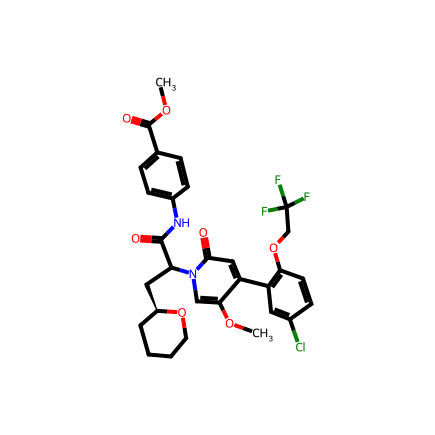 COC(=O)c1ccc(NC(=O)C(C[C@@H]2CCCCO2)n2cc(OC)c(-c3cc(Cl)ccc3OCC(F)(F)F)cc2=O)cc1